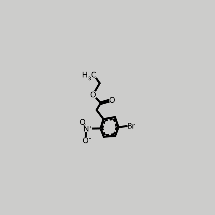 CCOC(=O)Cc1cc(Br)ccc1[N+](=O)[O-]